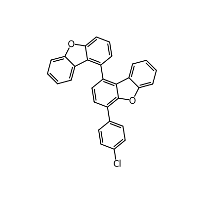 Clc1ccc(-c2ccc(-c3cccc4oc5ccccc5c34)c3c2oc2ccccc23)cc1